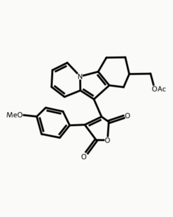 COc1ccc(C2=C(c3c4c(n5ccccc35)CCC(COC(C)=O)C4)C(=O)OC2=O)cc1